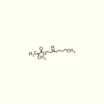 C=C(C)C(=O)OCCNCCCCC